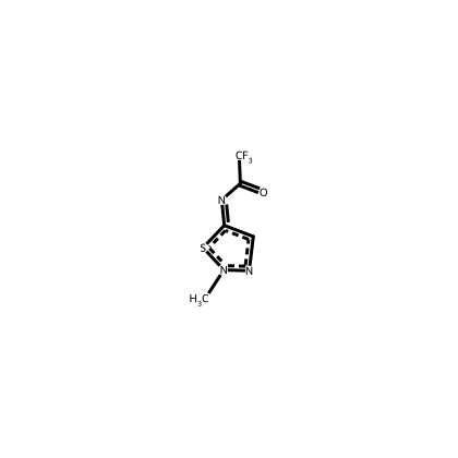 Cn1ncc(=NC(=O)C(F)(F)F)s1